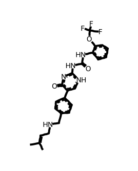 CC(C)=CCNCc1ccc(-c2c[nH]c(NC(=O)Nc3ccccc3OC(F)(F)F)nc2=O)cc1